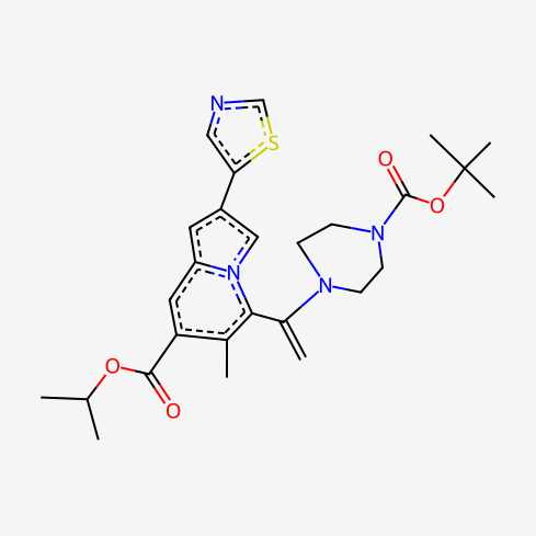 C=C(c1c(C)c(C(=O)OC(C)C)cc2cc(-c3cncs3)cn12)N1CCN(C(=O)OC(C)(C)C)CC1